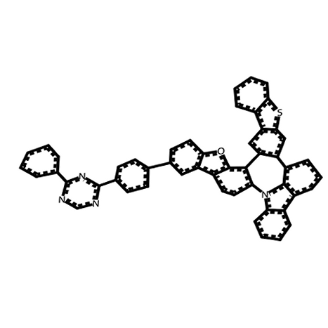 c1ccc(-c2ncnc(-c3ccc(-c4ccc5oc6c7c(ccc6c5c4)-n4c5ccccc5c5cccc(c54)-c4cc5sc6ccccc6c5cc4-7)cc3)n2)cc1